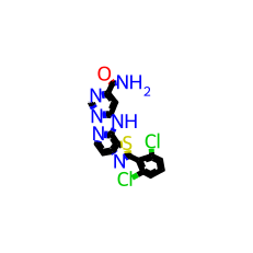 NC(=O)c1cc(Nc2nccc3nc(-c4c(Cl)cccc4Cl)sc23)ncn1